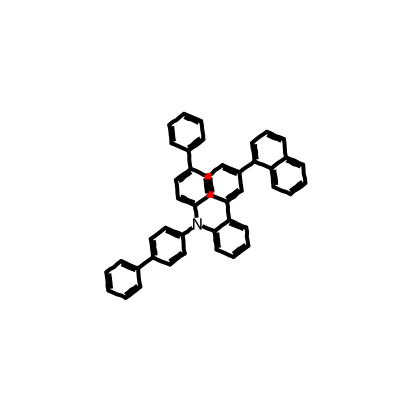 c1ccc(-c2ccc(N(c3ccc(-c4ccccc4)cc3)c3ccccc3-c3cccc(-c4cccc5ccccc45)c3)cc2)cc1